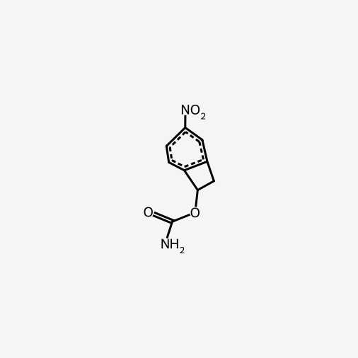 NC(=O)OC1Cc2cc([N+](=O)[O-])ccc21